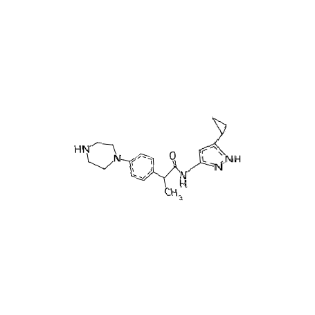 CC(C(=O)Nc1cc(C2CC2)[nH]n1)c1ccc(N2CCNCC2)cc1